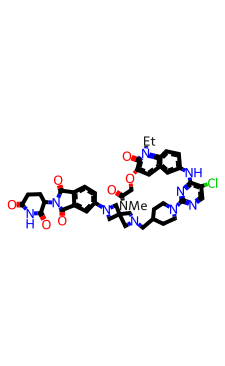 CCn1c(=O)c(OCC(=O)NC)cc2cc(Nc3nc(N4CCC(CN5CC6(C5)CN(c5ccc7c(c5)C(=O)N(C5CCC(=O)NC5=O)C7=O)C6)CC4)ncc3Cl)ccc21